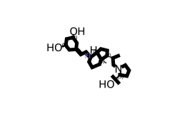 CC(CN1CCC[C@H]1C(C)(C)O)[C@H]1CC[C@H]2/C(=C/C=C3C[C@@H](O)C[C@H](O)C3)CCC[C@]12C